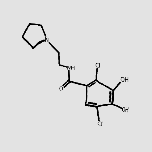 O=C(NCCN1CCCC1)c1cc(Cl)c(O)c(O)c1Cl